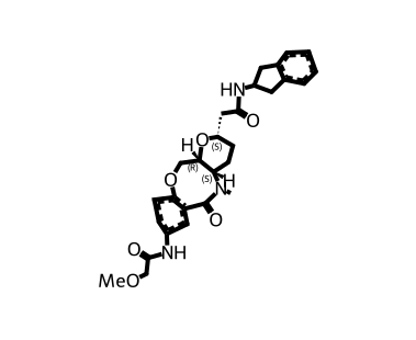 COCC(=O)Nc1ccc2c(c1)C(=O)N(C)[C@H]1CC[C@@H](CC(=O)NC3Cc4ccccc4C3)O[C@H]1CO2